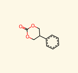 O=C1OCC(c2ccccc2)CO1